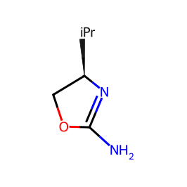 CC(C)[C@@H]1COC(N)=N1